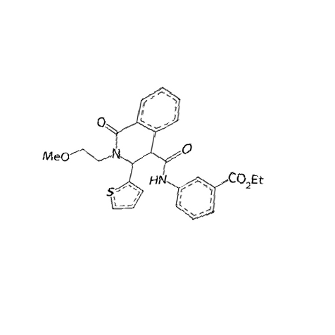 CCOC(=O)c1cccc(NC(=O)C2c3ccccc3C(=O)N(CCOC)C2c2cccs2)c1